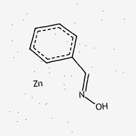 ON=Cc1ccccc1.[Zn]